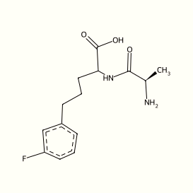 C[C@@H](N)C(=O)NC(CCCc1cccc(F)c1)C(=O)O